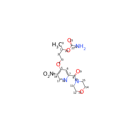 CC(CCOc1cc(C(=O)N2CCOCC2)ncc1[N+](=O)[O-])OC(N)=O